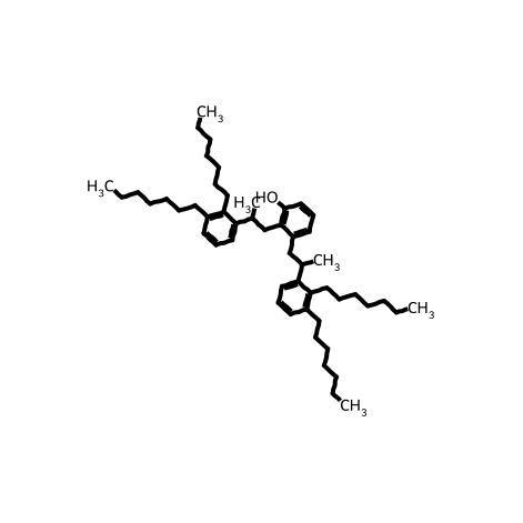 CCCCCCCc1cccc(C(C)Cc2cccc(O)c2CC(C)c2cccc(CCCCCCC)c2CCCCCCC)c1CCCCCCC